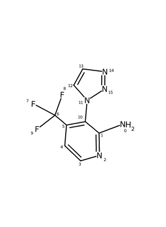 Nc1nccc(C(F)(F)F)c1-n1ccnn1